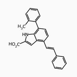 Cc1ccccc1-c1ccc(C=Cc2ccccc2)c2cc(C(=O)O)[nH]c12